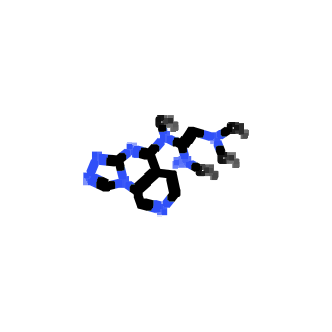 CN/C(=C\N(C)C)N(C)c1nc2nncn2c2cnccc12